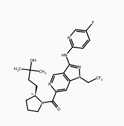 CC(C)(O)CC[C@@H]1CCCN1C(=O)c1cc2c(cn1)c(Nc1ccc(F)cn1)nn2CC(F)(F)F